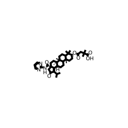 CC(C)C1=C2[C@H]3CCC4[C@@]5(C)CC[C@H](OC(=O)CC(C)(C)C(=O)O)C(C)(C)C5CC[C@@]4(C)[C@]3(C)CC[C@@]2(C(=O)Nc2ncccn2)CC1=O